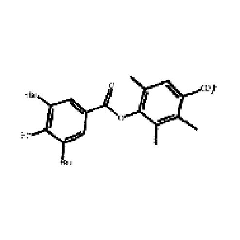 Cc1cc(C(=O)O)c(C)c(C)c1OC(=O)c1cc(C(C)(C)C)c(O)c(C(C)(C)C)c1